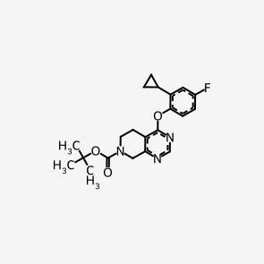 CC(C)(C)OC(=O)N1CCc2c(ncnc2Oc2ccc(F)cc2C2CC2)C1